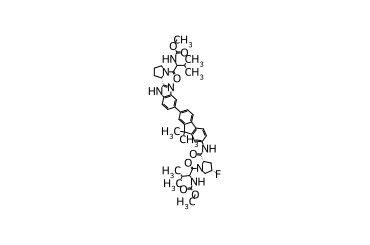 COC(=O)N[C@H](C(=O)N1C[C@@H](F)C[C@H]1C(=O)Nc1ccc2c(c1)C(C)(C)c1cc(-c3ccc4[nH]c([C@@H]5CCCN5C(=O)[C@@H](NC(=O)OC)C(C)C)nc4c3)ccc1-2)C(C)C